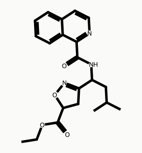 CCOC(=O)C1CC(C(CC(C)C)NC(=O)c2nccc3ccccc23)=NO1